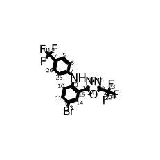 FC(F)(F)c1ccc(Nc2ccc(Br)cc2-c2nnc(C(F)(F)F)o2)cc1